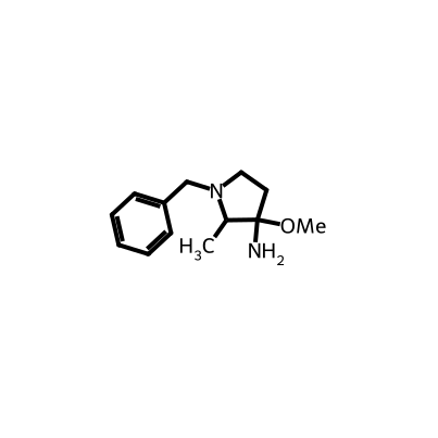 COC1(N)CCN(Cc2ccccc2)C1C